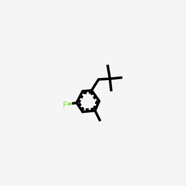 Cc1cc(F)cc(CC(C)(C)C)c1